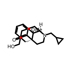 CO[C@@]12CCC(=O)C[C@@]13CCN(CC1CC1)[C@@H]2Cc1cccc(CO)c13